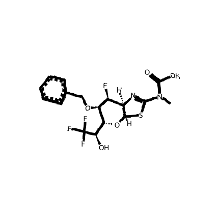 CN(C(=O)O)C1=N[C@@H]2[C@H](F)[C@H](OCc3ccccc3)[C@@H]([C@@H](O)C(F)(F)F)O[C@@H]2S1